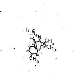 Cc1ccc(-c2cn(C)nc2C(C)(C)C)cc1